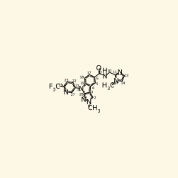 Cn1cc2c3cc(C(=O)NCc4nccn4C)ccc3n(-c3ccc(C(F)(F)F)nc3)c2n1